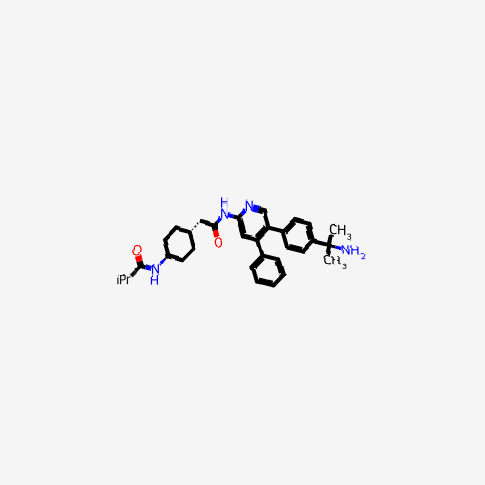 CC(C)C(=O)N[C@H]1CC[C@H](CC(=O)Nc2cc(-c3ccccc3)c(-c3ccc(C(C)(C)N)cc3)cn2)CC1